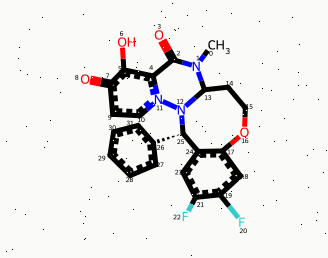 CN1C(=O)c2c(O)c(=O)ccn2N2C1CCOc1cc(F)c(F)cc1[C@@H]2c1ccccc1